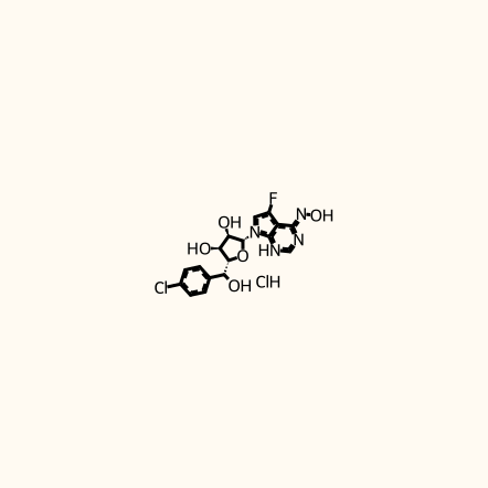 Cl.ON=c1nc[nH]c2c1c(F)cn2[C@@H]1O[C@H](C(O)c2ccc(Cl)cc2)[C@@H](O)[C@H]1O